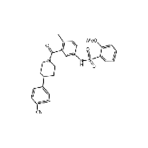 COc1ccccc1S(=O)(=O)Nc1ccc(C)c(C(=O)N2CCC(c3ccc(C#N)cc3)CC2)c1